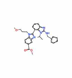 COCCCn1c(-c2cccc3nc(NCc4ccccc4)n(C(C)C)c23)nc2cc(C(=O)OC)ccc21